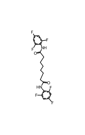 O=C(CCCCCCC(=O)Nc1c(F)cc(F)cc1F)Nc1c(F)cc(F)cc1F